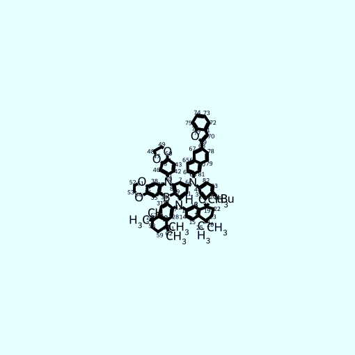 CC(C)(C)c1ccc(N(c2cc3c4c(c2)N(c2ccc5c(c2)C(C)(C)CCC5(C)C)c2cc5c(cc2B4c2cc4c(cc2N3c2ccc3c(c2)OCCO3)OCCO4)C(C)(C)CCC5(C)C)c2ccc3cc(-c4cc5ccccc5o4)ccc3c2)cc1